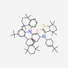 CC1=CC2=C3B(C4=C(C5C(S4)C(C)(C)CCC5(C)C)N(C4CC=C(C(C)(C)C)CC4)C3C1)c1ccc3c(c1N2c1c(C)cc(C(C)(C)C)cc1C1C=CC2=C(C1)C(C)(C)CCC2(C)C)C(C)(C)CCC3(C)C